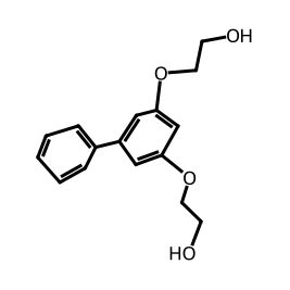 OCCOc1cc(OCCO)cc(-c2ccccc2)c1